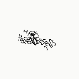 C=C1/C(=C\C=C2/CCC[C@]3(C)[C@@H]([C@H](C)C=O)CC[C@@H]23)C[C@@H](O[Si](C)(C)C(C)(C)C)C[C@@H]1O[Si](C)(C)C(C)(C)C